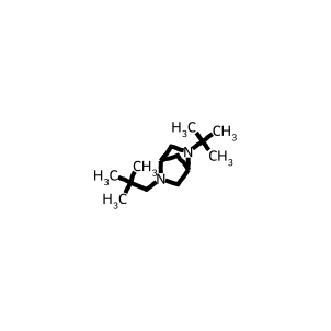 CC(C)(C)CN1CC2CC1CN2C(C)(C)C